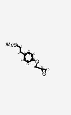 CSCCc1ccc(OCC2CO2)cc1